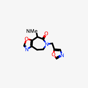 CNC1C(=O)N(Cc2cnco2)CCc2ncoc21